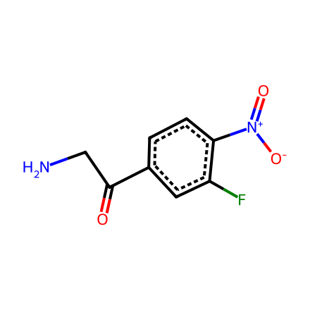 NCC(=O)c1ccc([N+](=O)[O-])c(F)c1